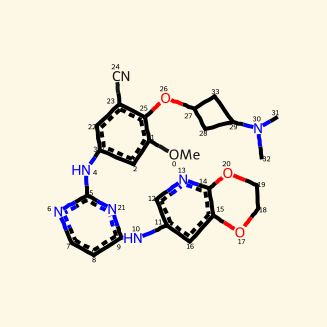 COc1cc(Nc2nccc(Nc3cnc4c(c3)OCCO4)n2)cc(C#N)c1OC1CC(N(C)C)C1